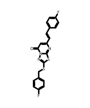 O=c1cc(/C=C/c2ccc(F)cc2)nc2sc(SCc3ccc(F)cc3)nn12